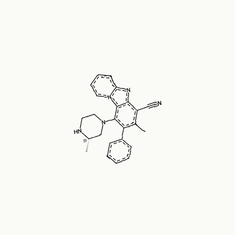 Cc1c(-c2ccccc2)c(N2CCN[C@@H](C)C2)c2c(nc3ccccn32)c1C#N